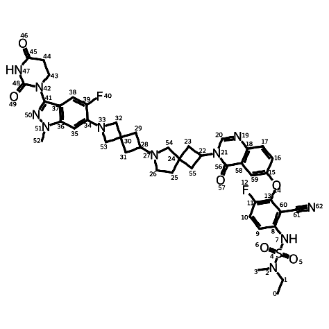 CCN(C)S(=O)(=O)Nc1ccc(F)c(Oc2ccc3ncn(C4CC5(CCN(C6CC7(C6)CN(c6cc8c(cc6F)c(N6CCC(=O)NC6=O)nn8C)C7)C5)C4)c(=O)c3c2)c1C#N